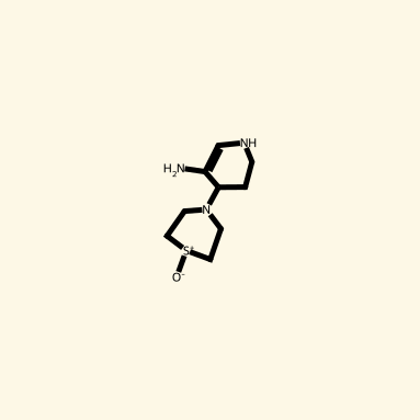 NC1=CNCCC1N1CC[S+]([O-])CC1